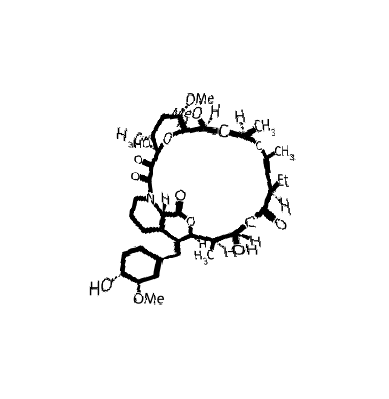 CC[C@@H]1/C=C(\C)C[C@H](C)C[C@H](OC)[C@H]2O[C@@](O)(C(=O)C(=O)N3CCCC4/C(=C\[C@@H]5CC[C@@H](O)[C@H](OC)C5)[C@@H](OC(=O)[C@H]43)[C@H](C)[C@@H](O)CC1=O)[C@H](C)C[C@@H]2OC